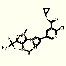 Cn1nc(C(F)(F)C(F)(F)F)c(NC(F)F)c1-n1cc(-c2cnc(Cl)c(C(=O)NC3CC3)c2)cn1